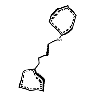 [c]1ccc(NCCCc2ccccc2)cc1